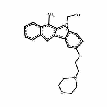 Cc1c2ccncc2cc2c3cc(OCCN4CCOCC4)ccc3n(CC(C)(C)C)c12